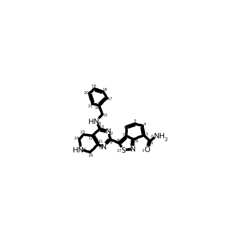 NC(=O)c1cccc2c(-c3nc4c(c(NCc5ccccc5)n3)CCNC4)snc12